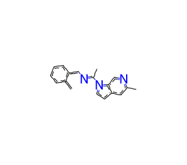 C=c1cccc/c1=C/N=C(\C)n1ccc2cc(C)ncc21